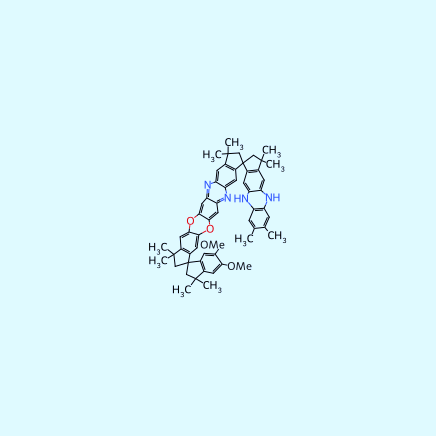 COc1cc2c(cc1OC)C1(CC2(C)C)CC(C)(C)c2cc3c(cc21)Oc1cc2nc4cc5c(cc4nc2cc1O3)C(C)(C)CC51CC(C)(C)c2cc3c(cc21)Nc1cc(C)c(C)cc1N3